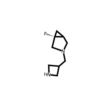 F[C@]12CC1CN(CC1CNC1)C2